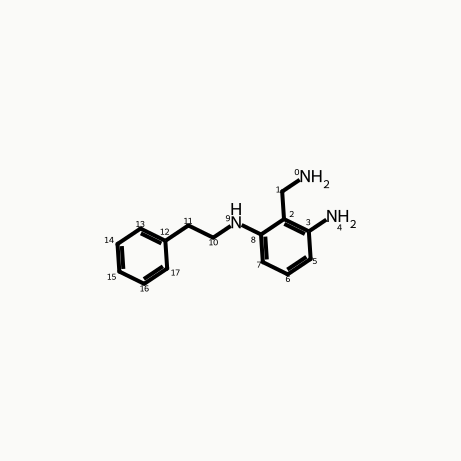 NCc1c(N)cccc1NCCc1ccccc1